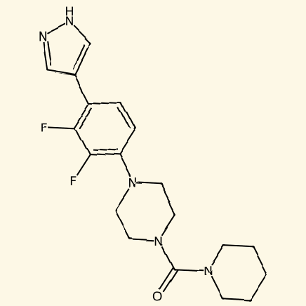 O=C(N1CCCCC1)N1CCN(c2ccc(-c3cn[nH]c3)c(F)c2F)CC1